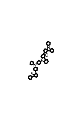 c1ccc(N(c2ccc(-c3cccc4c3sc3ccccc34)cc2)c2ccc(-n3c4ccccc4c4c5oc6c(ccc7c6c6ccccc6n7-c6ccccc6)c5ccc43)cc2)cc1